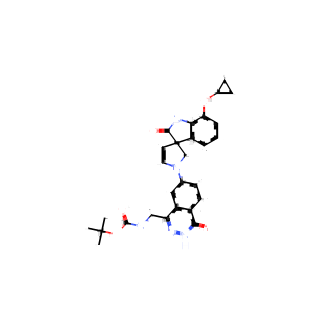 CC(C)(C)OC(=O)NCc1n[nH]c(=O)c2ccc(N3C=CC4(C3)C(=O)Nc3c(OC5CC5)cccc34)cc12